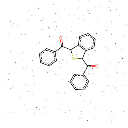 O=C(c1ccccc1)C1SC(C(=O)c2ccccc2)c2ccccc21